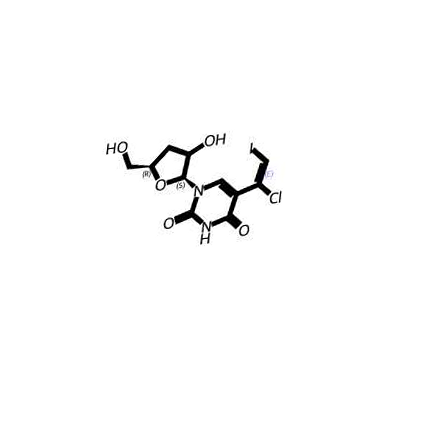 O=c1[nH]c(=O)n([C@H]2O[C@@H](CO)CC2O)cc1/C(Cl)=C\I